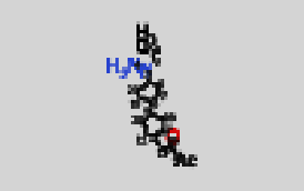 C/C=C\N(N)c1ccc(-c2ccc3cc(C(C)=O)oc3c2)cc1